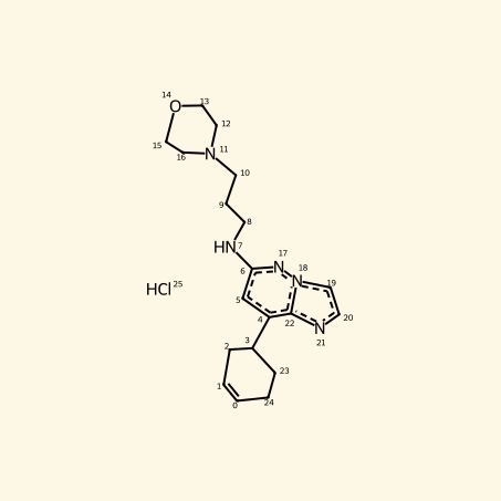 C1=CCC(c2cc(NCCCN3CCOCC3)nn3ccnc23)CC1.Cl